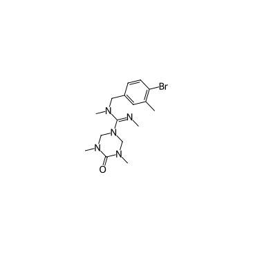 C/N=C(/N(C)Cc1ccc(Br)c(C)c1)N1CN(C)C(=O)N(C)C1